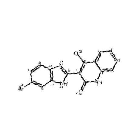 O=c1[nH]c2ccccc2c(Cl)c1-c1nc2ccc(Br)cc2[nH]1